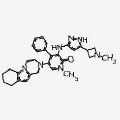 CN1CC(c2cc(Nc3c(-c4ccccc4)c(N4C=Cn5c(cc6c5CCCC6)C4)cn(C)c3=O)n[nH]2)C1